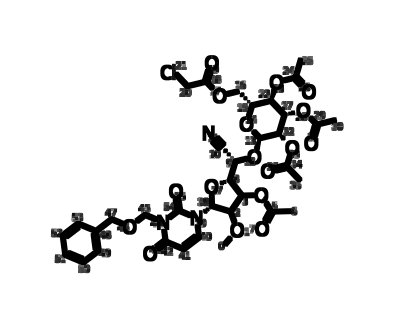 COC1C(OC(C)=O)[C@@H]([C@H](C#N)O[C@H]2O[C@H](COC(=O)CCl)[C@@H](OC(C)=O)[C@H](OC(C)=O)[C@@H]2OC(C)=O)O[C@H]1n1ccc(=O)n(COCc2ccccc2)c1=O